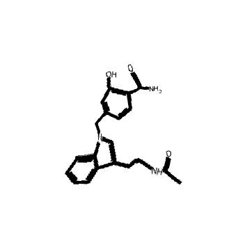 CC(=O)NCCc1cn(Cc2ccc(C(N)=O)c(O)c2)c2ccccc12